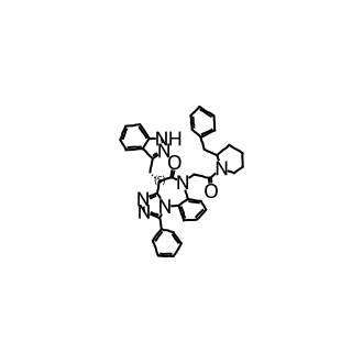 O=C1[C@@H](Cc2n[nH]c3ccccc23)c2nnc(-c3ccccc3)n2-c2ccccc2N1CC(=O)N1CCCCC1Cc1ccccc1